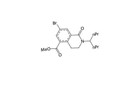 CCCC(CCC)N1CCc2c(C(=O)OC)cc(Br)cc2C1=O